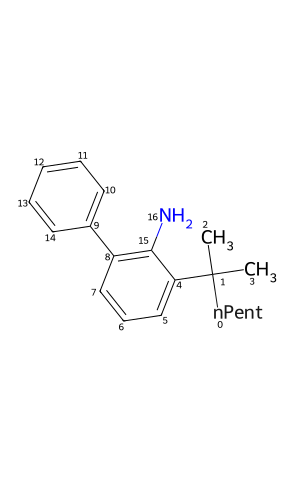 CCCCCC(C)(C)c1cccc(-c2ccccc2)c1N